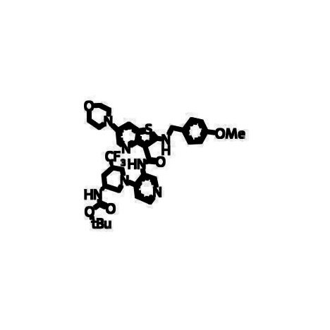 COc1ccc(CNc2sc3cc(N4CCOCC4)cnc3c2C(=O)Nc2cnccc2N2C[C@@H](NC(=O)OC(C)(C)C)C[C@@H](C(F)(F)F)C2)cc1